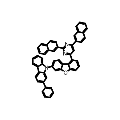 c1ccc(-c2ccc3c4ccccc4n(-c4ccc5c(c4)oc4cccc(-c6cc(-c7ccc8ccccc8c7)nc(-c7ccc8ccccc8c7)n6)c45)c3c2)cc1